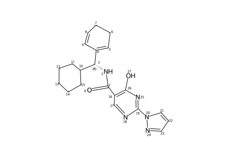 O=C(N[C@@H](C1=CC[CH]C=C1)C1CCCCC1)c1cnc(-n2cccn2)nc1O